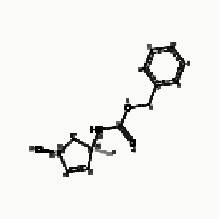 C[C@]1(NC(=O)OCc2ccccc2)C=C[S@@+]([O-])C1